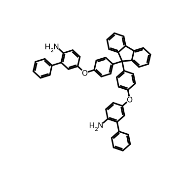 Nc1ccc(Oc2ccc(C3(c4ccc(Oc5ccc(N)c(-c6ccccc6)c5)cc4)c4ccccc4-c4ccccc43)cc2)cc1-c1ccccc1